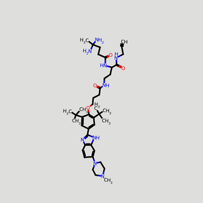 C#CCNC(=O)C(CCNC(=O)CCCOc1c(C(C)(C)C)cc(-c2nc3ccc(N4CCN(C)CC4)cc3[nH]2)cc1C(C)(C)C)NC(=O)CCC(C)(N)N